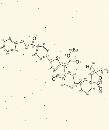 CC(C)(C)OC(=O)Nc1sc(-c2ccc(C(=O)OCc3ccccc3)cc2)cc1C(=O)N1CCC(N2CCCC3(C2)CC(C)(C)OC3=O)CC1